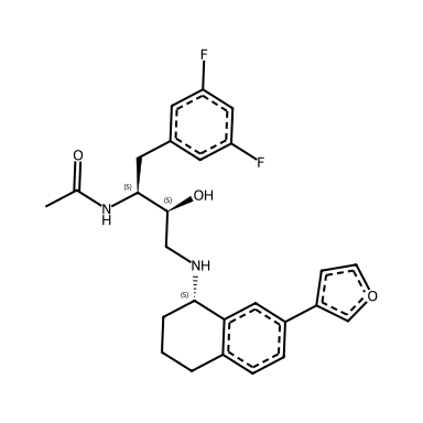 CC(=O)N[C@@H](Cc1cc(F)cc(F)c1)[C@@H](O)CN[C@H]1CCCc2ccc(-c3ccoc3)cc21